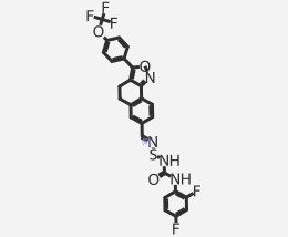 O=C(NS/N=C/c1ccc2c(c1)CCc1c-2noc1-c1ccc(OC(F)(F)F)cc1)Nc1ccc(F)cc1F